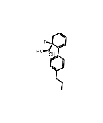 CCCc1ccc(C2=CC=CCC2(F)B(O)O)cc1